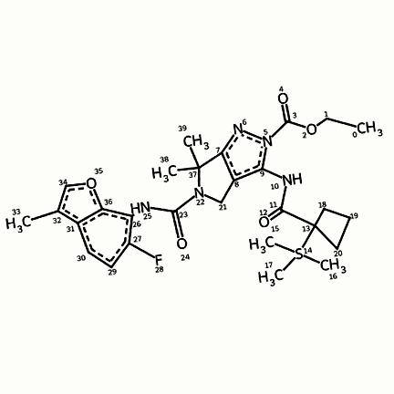 CCOC(=O)n1nc2c(c1NC(=O)C1(S(C)(C)C)CCC1)CN(C(=O)Nc1c(F)ccc3c(C)coc13)C2(C)C